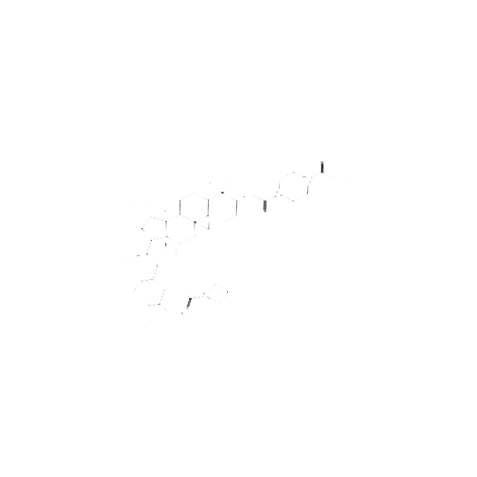 COC(C[C@@H](C)[C@H]1C[C@H](O)[C@@]2(C)C3CC[C@H]4C(C)(C)[C@@H](OC(=O)N5CCN(C(C)=O)CC5)CC[C@@]45CC35CC[C@]12C)[C@H](OC(=O)N1CCC1)C(C)C